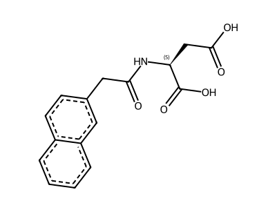 O=C(O)C[C@H](NC(=O)Cc1ccc2ccccc2c1)C(=O)O